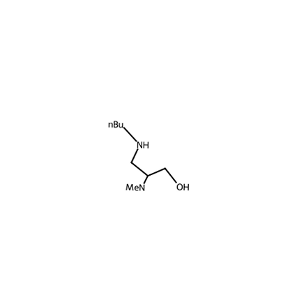 CCCCNCC(CO)NC